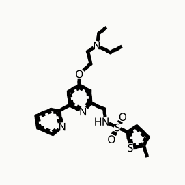 CCN(CC)CCOc1cc(CNS(=O)(=O)c2ccc(C)s2)nc(-c2ccccn2)c1